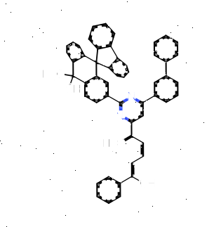 C=C(/C=C\C=C(/C)c1ccccc1)c1cc(-c2cccc(-c3ccccc3)c2)nc(-c2ccc3c(c2)C2(c4ccccc4-c4ccccc42)c2ccccc2C3(C)C)n1